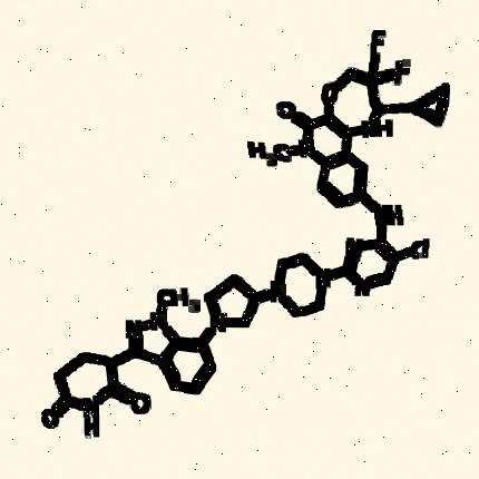 Cn1nc(C2CCC(=O)NC2=O)c2cccc(N3CCC(N4CCN(c5ncc(Cl)c(Nc6ccc7c(c6)c6c(c(=O)n7C)OCC(F)(F)C(C7CC7)N6)n5)CC4)C3)c21